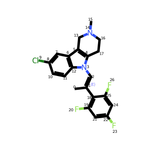 C/C(=C\n1c2c(c3cc(Cl)ccc31)CN(C)CC2)c1c(F)cc(F)cc1F